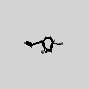 C#CC1CC[C@H](C)CO1